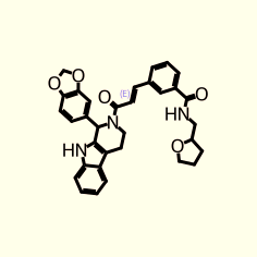 O=C(NCC1CCCO1)c1cccc(/C=C/C(=O)N2CCc3c([nH]c4ccccc34)C2c2ccc3c(c2)OCO3)c1